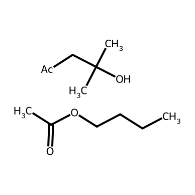 CC(=O)CC(C)(C)O.CCCCOC(C)=O